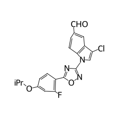 CC(C)Oc1ccc(-c2nc(-n3cc(Cl)c4cc(C=O)ccc43)no2)c(F)c1